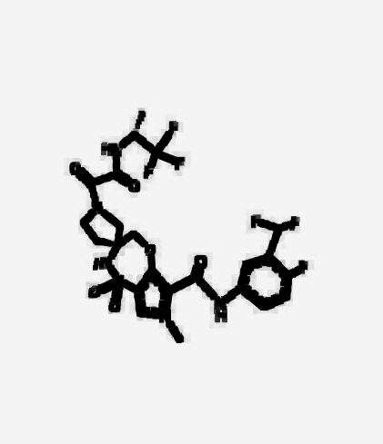 C[C@@H](NC(=O)C(=O)N1CC[C@]2(COc3c(cn(C)c3C(=O)Nc3ccc(F)c(C(F)F)c3)S(=O)(=O)N2)C1)C(F)(F)F